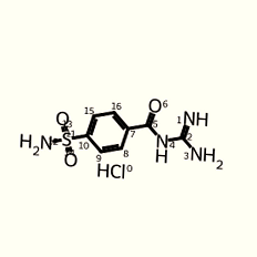 Cl.N=C(N)NC(=O)c1ccc(S(N)(=O)=O)cc1